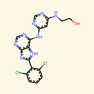 OCCNc1cc(Nc2ncnc3nc(-c4c(Cl)cccc4Cl)[nH]c23)ncn1